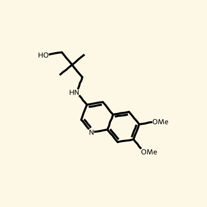 COc1cc2cc(NCC(C)(C)CO)cnc2cc1OC